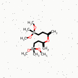 C=C(CC[Si](C)(OC)OC)OC(=C)CC[Si](C)(OC)OC